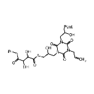 C=CCn1c(=O)n(CC(O)CSC(=O)C(O)C(O)C(=O)SC(C)C)c(=O)n(CC(O)C(C)CCC)c1=O